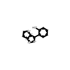 Oc1ccccc1-c1noc2ccsc12